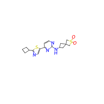 O=S1(=O)CC2(CC(Nc3nccc(-c4cnc(C5CCC5)s4)n3)C2)C1